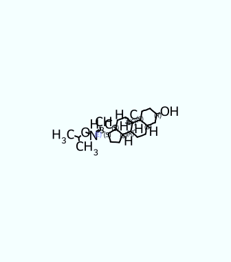 C/C(=N\OC(C)C)[C@H]1CC[C@H]2[C@@H]3CC[C@H]4C[C@H](O)CC[C@]4(C)[C@H]3CC[C@]12C